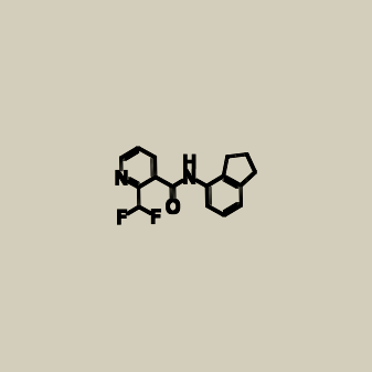 O=C(Nc1cccc2c1CCC2)c1cccnc1C(F)F